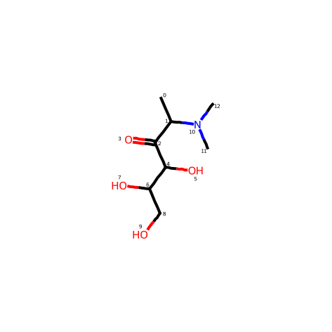 CC(C(=O)C(O)C(O)CO)N(C)C